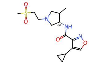 CC1CN(CCS(C)(=O)=O)C[C@H]1NC(=O)c1nocc1C1CC1